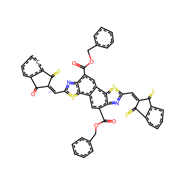 O=C1/C(=C/c2nc3c(C(=O)OCc4ccccc4)cc4c(cc(C(=O)OCc5ccccc5)c5nc(C=C6C(=S)c7ccccc7C6=S)sc54)c3s2)C(=S)c2ccccc21